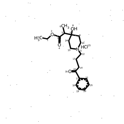 CCOC(=O)C(C)C1(O)CCN(CCCC(=O)c2ccccc2)CC1.Cl